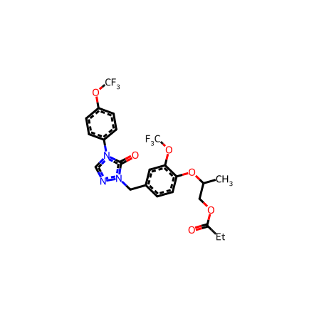 CCC(=O)OCC(C)Oc1ccc(Cn2ncn(-c3ccc(OC(F)(F)F)cc3)c2=O)cc1OC(F)(F)F